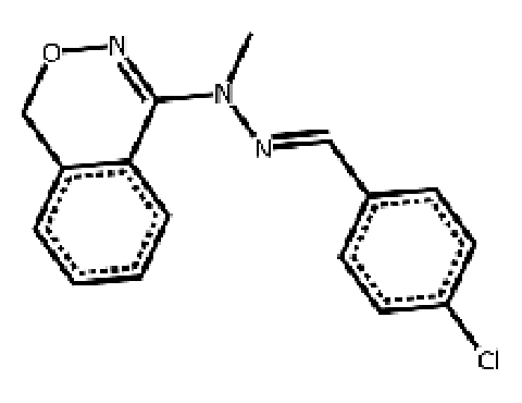 CN(/N=C/c1ccc(Cl)cc1)C1=NOCc2ccccc21